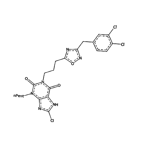 CCCCCn1c(=O)n(CCCc2nc(Cc3ccc(Cl)c(Cl)c3)no2)c(=O)c2[nH]c(Cl)nc21